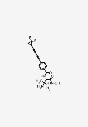 CC(C)(N)[C@H](NC(=O)c1ccc(C#CC#CC2CC2(F)F)cc1)C(=O)NO